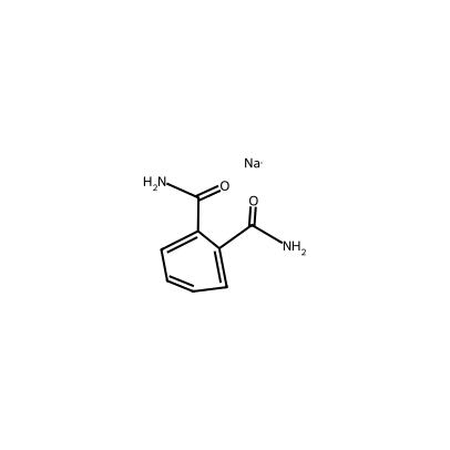 NC(=O)c1ccccc1C(N)=O.[Na]